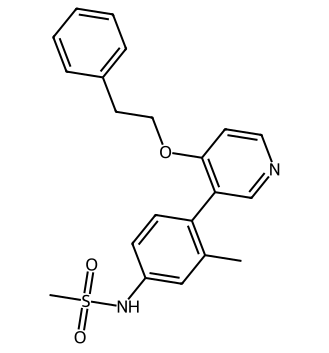 Cc1cc(NS(C)(=O)=O)ccc1-c1cnccc1OCCc1ccccc1